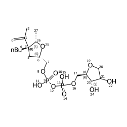 C=C(C)[C@@]1(CCCC)C[C@@H](COP(=O)(O)OP(=O)(O)OC[C@H]2OCC(O)[C@@H]2O)O[C@H]1C